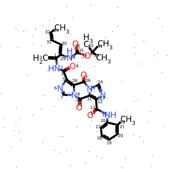 C=C(NC(=O)c1ncn2c(=O)c3c(C(=O)Nc4ccccc4C)ncn3c(=O)c12)/C(=C\C=C/C)NC(=O)OC(C)(C)C